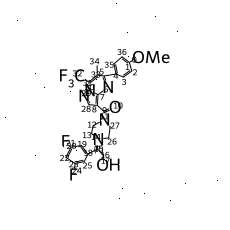 COc1ccc(-c2nc3c(C(=O)N4CCN([C@@H](CO)c5cc(F)cc(F)c5)CC4)cnn3c(C(F)(F)F)c2C)cc1